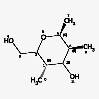 C[C@@H]1C(CO)O[C@@H](C)[C@@H](C)C1O